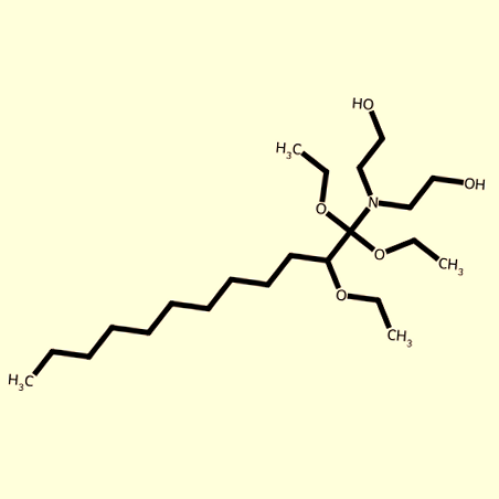 CCCCCCCCCCC(OCC)C(OCC)(OCC)N(CCO)CCO